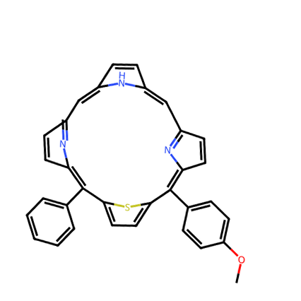 COc1ccc(-c2c3nc(cc4ccc(cc5nc(c(-c6ccccc6)c6ccc2s6)C=C5)[nH]4)C=C3)cc1